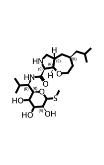 CSC1O[C@H]([C@H](NC(=O)[C@H]2NC[C@@H]3C[C@@H](CC(C)C)CCO[C@H]32)C(C)C)C(O)C(O)[C@H]1O